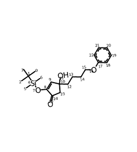 CC(C)(C)[Si](C)(C)OC1=CC(O)(CCCCOc2ccccc2)CC1=O